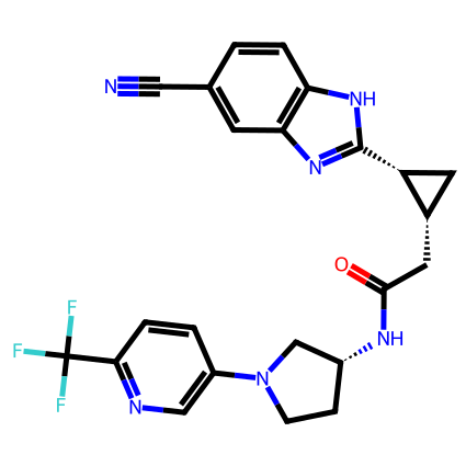 N#Cc1ccc2[nH]c([C@@H]3C[C@@H]3CC(=O)N[C@@H]3CCN(c4ccc(C(F)(F)F)nc4)C3)nc2c1